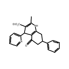 CCOC(=O)C1=C(C)NC2=C(C(=O)CC(c3ccccc3)C2)C1c1ccccn1